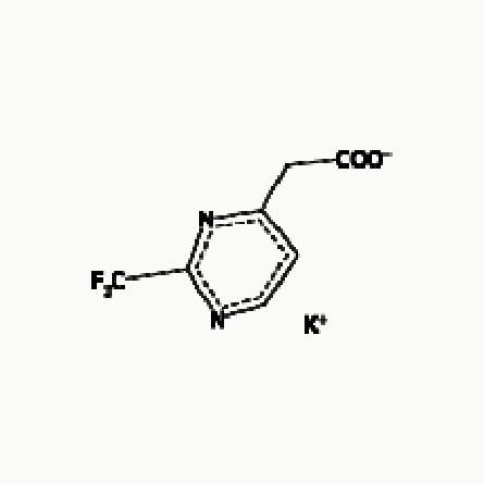 O=C([O-])Cc1ccnc(C(F)(F)F)n1.[K+]